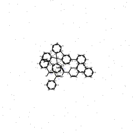 CC/C(C)=C(/N=C(\N=C(/C)c1ccccc1)c1ccccc1)C1C=Cc2c(c3c(-c4ccc5c(c4)-c4ccccc4C54c5ccccc5-c5ccccc54)cccc3c3ccccc23)C1